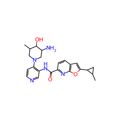 CC1CC1c1cc2ccc(C(=O)Nc3cnccc3N3CC(C)C(O)C(N)C3)nc2o1